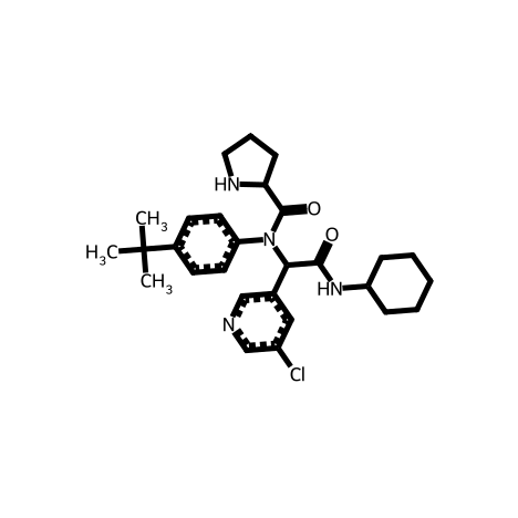 CC(C)(C)c1ccc(N(C(=O)C2CCCN2)C(C(=O)NC2CCCCC2)c2cncc(Cl)c2)cc1